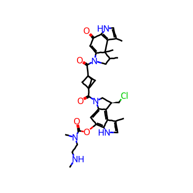 CNCCN(C)C(=O)Oc1cc2c(c3c(C)c[nH]c13)[C@H](CCl)CN2C(=O)C12CC(C(=O)N3CC(C)C4(C)C3=CC(=O)c3[nH]cc(C)c34)(C1)C2